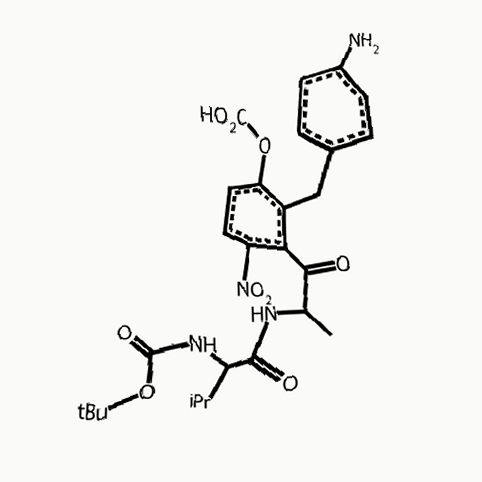 CC(NC(=O)C(NC(=O)OC(C)(C)C)C(C)C)C(=O)c1c([N+](=O)[O-])ccc(OC(=O)O)c1Cc1ccc(N)cc1